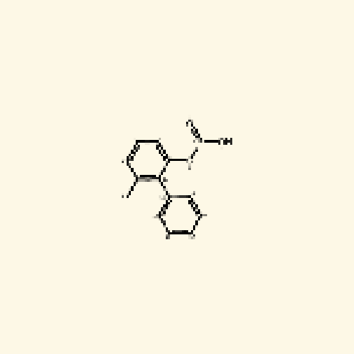 Cc1cccc(OS(=O)O)c1-c1ccccc1